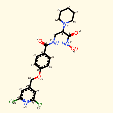 O=C(NCC(C(=O)NO)N1CCCCC1)c1ccc(OCc2cc(Cl)nc(Cl)c2)cc1